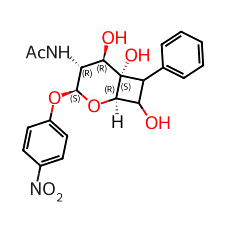 CC(=O)N[C@H]1[C@H](Oc2ccc([N+](=O)[O-])cc2)O[C@@H]2C(O)C(c3ccccc3)[C@]2(O)[C@@H]1O